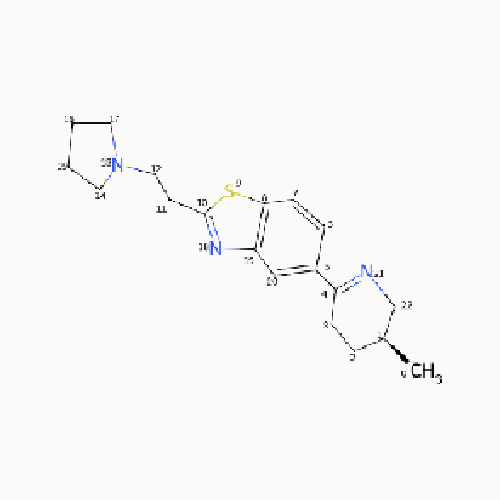 C[C@H]1CCC(c2ccc3sc(CCN4CCCC4)nc3c2)=NC1